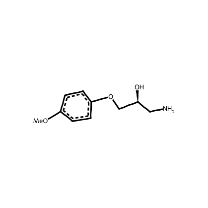 COc1ccc(OC[C@@H](O)CN)cc1